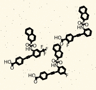 O=C(O)c1ccc(C#Cc2cc(F)ccc2NS(=O)(=O)c2ccc3ccccc3c2)cc1.O=C(O)c1ccc(C#Cc2ccc(C(F)(F)F)cc2NS(=O)(=O)c2ccc3ccccc3c2)cc1.O=C(O)c1ccc(C#Cc2ccccc2NS(=O)(=O)c2ccc3ccccc3c2)cc1F